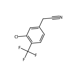 N#CCc1ccc(C(F)(F)F)c(Cl)c1